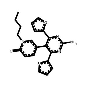 CCCCn1cc(-c2c(-c3ccco3)nc(N)nc2-c2ccco2)ccc1=O